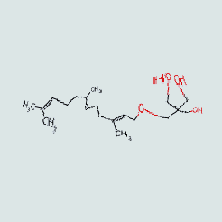 CC(C)=CCCC(C)=CCCC(C)=CCOCC(CO)(CO)CO